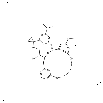 CNc1cc2cc(c1)C(=O)N[C@H]([C@H](O)CNC1(c3cccc(C(C)C)c3)CC1)Cc1cccc(c1)OCCCCN2